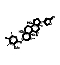 CC[C@@]12C3C(CC[C@]1(O)C[C@@H](O[C@@H]1O[C@@H](C)[C@H](C)[C@@H](C)[C@H]1OC(C)=O)C[C@H]2C)[C@@]1(O)CC[C@H](C2=CC(=O)OC2)[C@@]1(C)C[C@H]3C